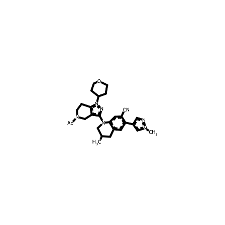 CC(=O)N1CCc2c(c(N3CC(C)Cc4cc(-c5cnn(C)c5)c(C#N)cc43)nn2C2CCOCC2)C1